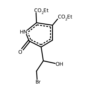 CCOC(=O)c1cc(C(O)CBr)c(=O)[nH]c1C(=O)OCC